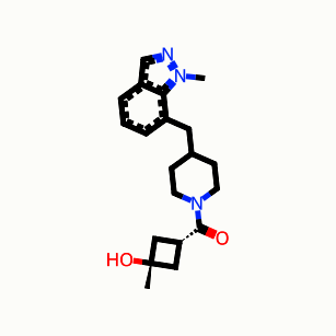 Cn1ncc2cccc(CC3CCN(C(=O)[C@H]4C[C@@](C)(O)C4)CC3)c21